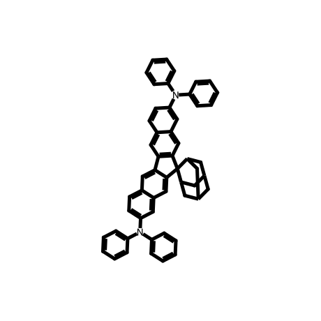 c1ccc(N(c2ccccc2)c2ccc3cc4c(cc3c2)C2(c3cc5cc(N(c6ccccc6)c6ccccc6)ccc5cc3-4)C3CC4CC(C3)CC2C4)cc1